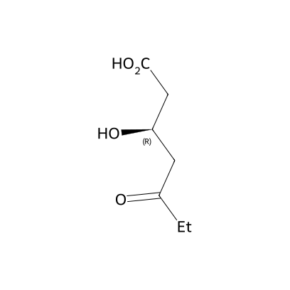 CCC(=O)C[C@@H](O)CC(=O)O